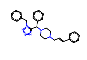 C(=C\c1ccccc1)/CN1CCN([C@H](c2ccccc2)c2nnnn2Cc2ccccc2)CC1